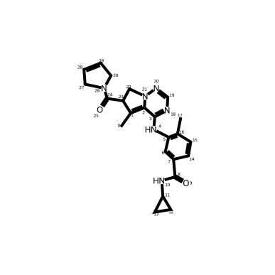 CC1=C2C(Nc3cc(C(=O)NC4CC4)ccc3C)=NC=NN2CC1C(=O)N1CC=CC1